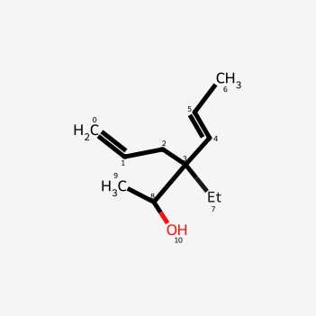 C=CCC(C=CC)(CC)C(C)O